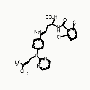 CC(C)=CCN(c1ccc(C=CCC(NC(=O)c2c(Cl)cccc2Cl)C(=O)O)cc1)c1ncccn1.[NaH]